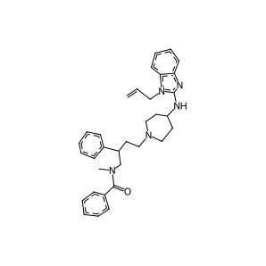 C=CCn1c(NC2CCN(CCC(CN(C)C(=O)c3ccccc3)c3ccccc3)CC2)nc2ccccc21